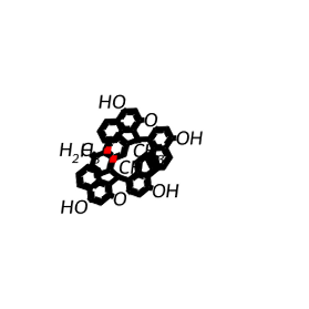 C=C(/C=C\C(=C/C)C1(C)c2c(cc(O)c3ccccc23)Oc2cc(O)c3ccccc3c21)c1ccc(C2(C)c3c(cc(O)c4ccccc34)Oc3cc(O)c4ccccc4c32)cc1